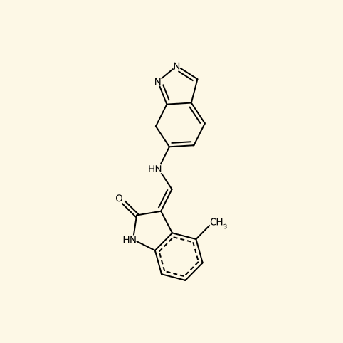 Cc1cccc2c1C(=CNC1=CC=C3C=NN=C3C1)C(=O)N2